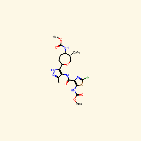 CCCCOC(=O)Nc1sc(Br)nc1C(=O)Nc1c(C)n[nH]c1C1CCC(NC(=O)OC(C)(C)C)[C@@H](OC)CO1